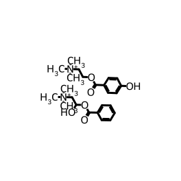 C[N+](C)(C)CC(O)OC(=O)c1ccccc1.C[N+](C)(C)CCOC(=O)c1ccc(O)cc1